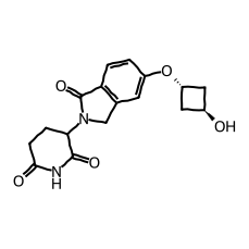 O=C1CCC(N2Cc3cc(O[C@H]4C[C@H](O)C4)ccc3C2=O)C(=O)N1